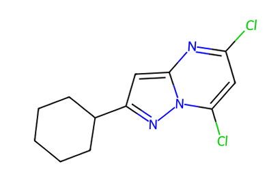 Clc1cc(Cl)n2nc(C3CCCCC3)cc2n1